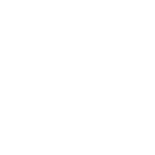 O=C1OC(c2ccc(-c3ccc(Cl)cc3Cl)cc2)C(O)=C1O